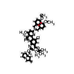 COc1ccc(CN(Cc2ccc(OC)cc2)c2cc(C)c(C(F)(F)F)c(-c3c(Cl)cc4c(OC(C)(C)C)nc(OC[C@@]56CCCN5C[C@H](F)C6)nc4c3F)n2)cc1